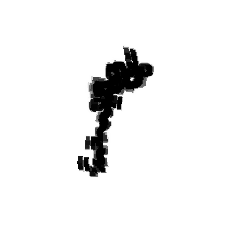 NCCCNCCCCCC(=O)Nc1cccc2c1CN(C1CCC(=O)NC1=O)C2=O